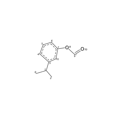 CC(C)c1cccc(O[C]=O)c1